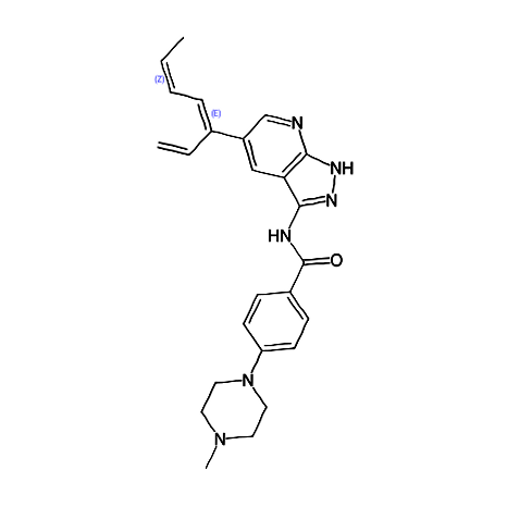 C=C/C(=C\C=C/C)c1cnc2[nH]nc(NC(=O)c3ccc(N4CCN(C)CC4)cc3)c2c1